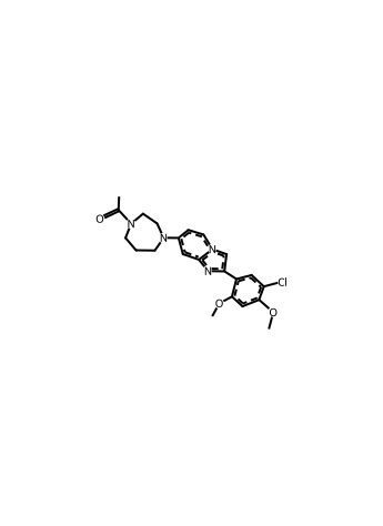 COc1cc(OC)c(-c2cn3ccc(N4CCCN(C(C)=O)CC4)cc3n2)cc1Cl